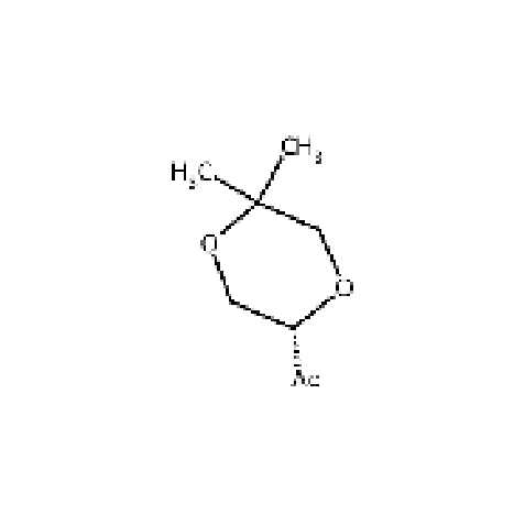 CC(=O)[C@@H]1COC(C)(C)CO1